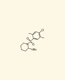 CCCCC1CCCCN1S(=O)(=O)c1cc(C)c(Cl)cc1C